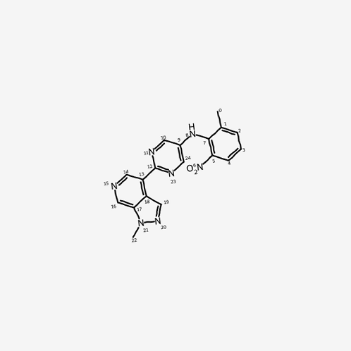 Cc1cccc([N+](=O)[O-])c1Nc1cnc(-c2cncc3c2cnn3C)nc1